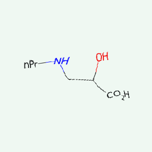 CCCNCC(O)C(=O)O